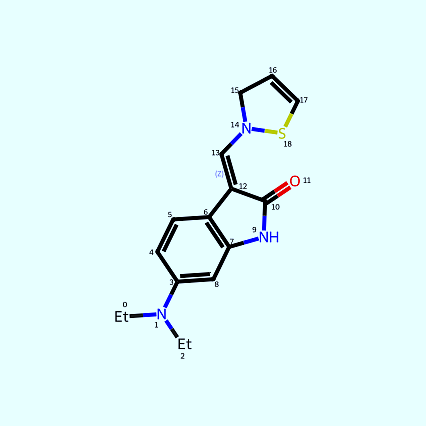 CCN(CC)c1ccc2c(c1)NC(=O)/C2=C\N1CC=CS1